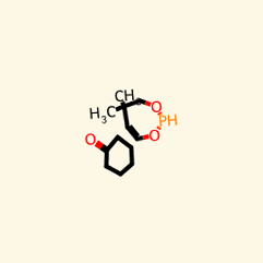 CC1(C)C=COPOC1.O=C1CCCCC1